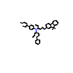 C=C/C=C(\C=C/Cc1ccccc1)N(/C(C=C)=C/C=C/c1ccc2c(c1)C(C)(C)c1ccccc1-2)c1ccc(C(/C=C\CC)=C/C)cc1